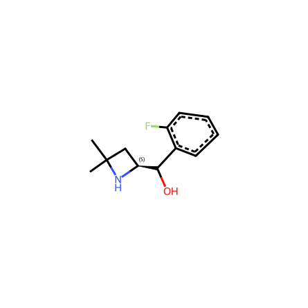 CC1(C)C[C@@H](C(O)c2ccccc2F)N1